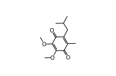 COC1=C(OC)C(=O)C(CC(C)C)=C(C)C1=O